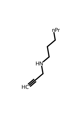 C#CCNCCCCCC